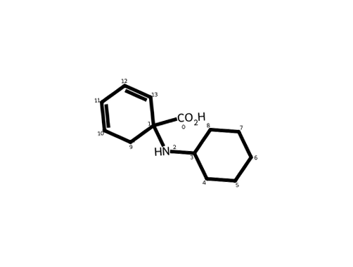 O=C(O)C1(NC2CCCCC2)[CH]C=CC=C1